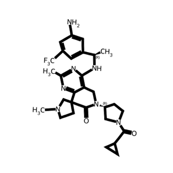 Cc1nc(N[C@H](C)c2cc(N)cc(C(F)(F)F)c2)c2c(n1)C1(CCN(C)C1)C(=O)N([C@@H]1CCN(C(=O)C3CC3)C1)C2